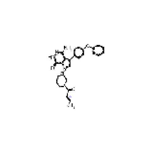 C/C=C/C(=O)N1CCC[C@@H](n2cc(-c3ccc(Oc4ccccc4)cc3)c3c(N)n[nH]c(=O)c32)C1